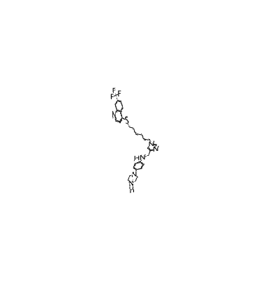 FC(F)(F)c1ccc2c(SCCCCCCn3cnc(CNc4ccc(N5CCNCC5)cc4)c3)ccnc2c1